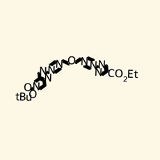 CCOC(=O)c1cnc(N2CCN(CCOCCN3CCN(c4ncc5c(n4)CCN(C(=O)OC(C)(C)C)C5)CC3)CC2)nc1